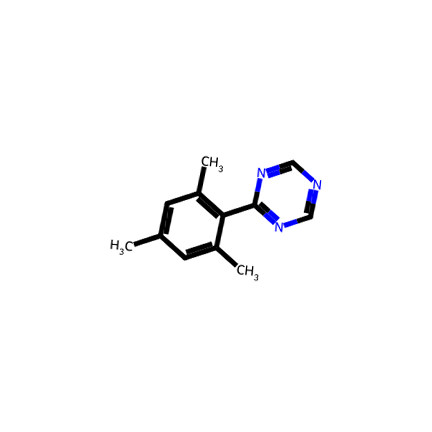 Cc1cc(C)c(-c2ncncn2)c(C)c1